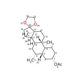 CC(=O)O[C@H]1CC[C@@]2(C)[C@H](C1)[C@H](C)C[C@@H]1[C@@H]2CC[C@@]2(C)[C@H]1CCC21OCCO1